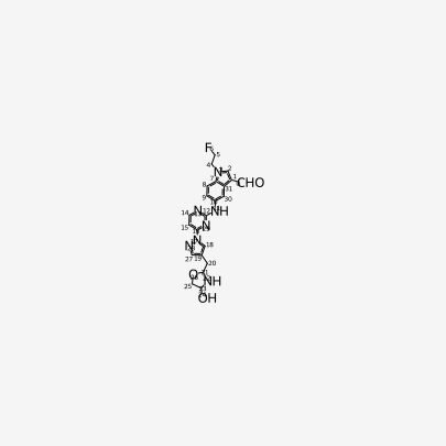 O=Cc1cn(CCF)c2ccc(Nc3nccc(-n4cc(CC5NC(O)CO5)cn4)n3)cc12